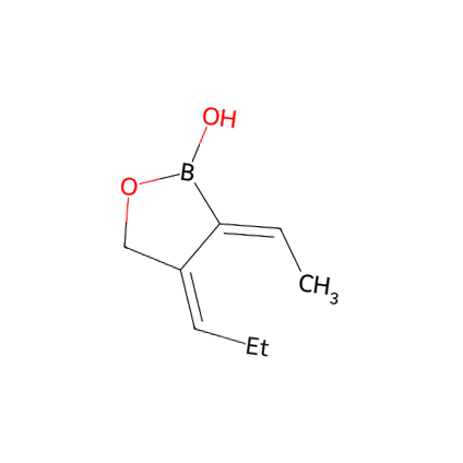 C/C=C1/B(O)OC/C1=C/CC